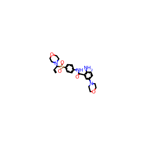 C=CC(N1CCOCC1)S(=O)(=O)c1ccc(NC(=O)c2cc(N3CCOCC3)ccc2N)cc1